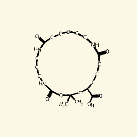 CC1(C)CC(C(=O)O)CCCC(=O)NCCOCCC(=O)NCCCNC(=O)O1